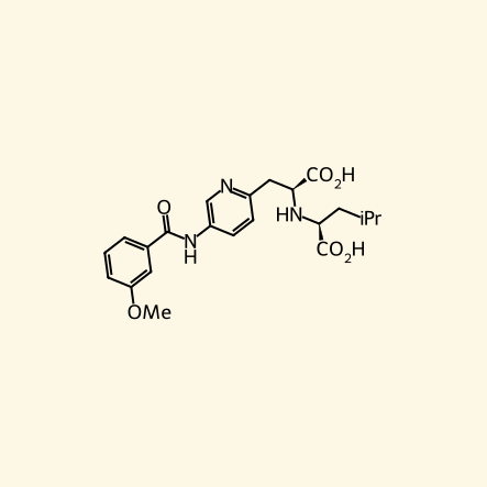 COc1cccc(C(=O)Nc2ccc(C[C@H](N[C@@H](CC(C)C)C(=O)O)C(=O)O)nc2)c1